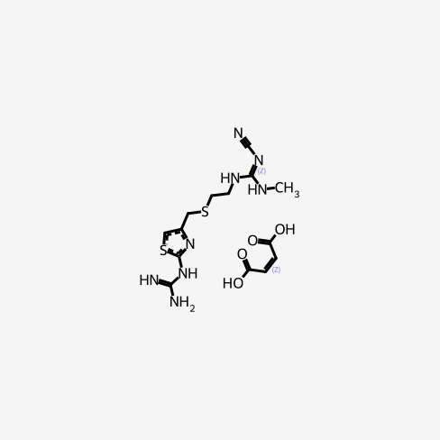 CN/C(=N/C#N)NCCSCc1csc(NC(=N)N)n1.O=C(O)/C=C\C(=O)O